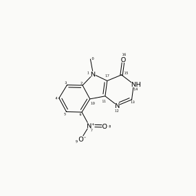 Cn1c2cccc([N+](=O)[O-])c2c2nc[nH]c(=O)c21